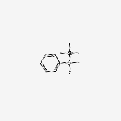 C[Si](C)(C)[Si](C)(Cl)c1ccccc1